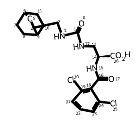 O=C(NCC1CC2CCC1CC2)NC[C@H](NC(=O)c1c(Cl)cccc1Cl)C(=O)O